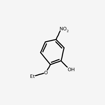 CCOc1ccc([N+](=O)[O-])cc1O